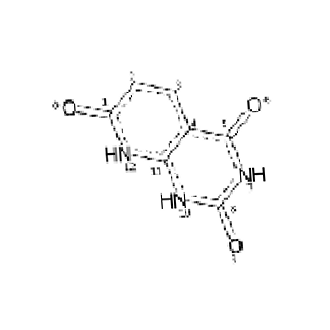 O=c1ccc2c(=O)[nH]c(=O)[nH]c2[nH]1